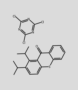 CC(C)c1ccc2sc3ccccc3c(=O)c2c1C(C)C.Clc1nc(Cl)nc(Cl)n1